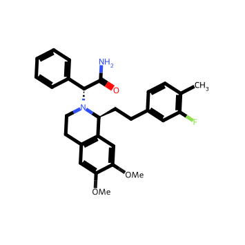 COc1cc2c(cc1OC)[C@H](CCc1ccc(C)c(F)c1)N([C@@H](C(N)=O)c1ccccc1)CC2